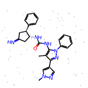 Cc1c(-c2cnn(C)c2)nn(-c2ccccc2)c1NC(=O)N[C@@H]1CC(=N)C[C@H]1c1ccccc1